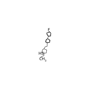 CCC[SiH]1CCC(CCc2ccc(-c3ccc(F)cc3)cc2)CC1